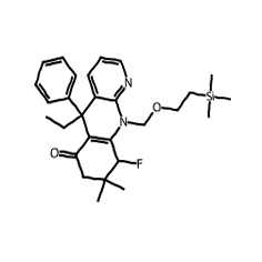 CCC1(c2ccccc2)C2=C(C(F)C(C)(C)CC2=O)N(COCC[Si](C)(C)C)c2ncccc21